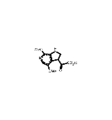 CCOC(=O)C(=O)C1CNc2c(OC)ncc(OC)c21